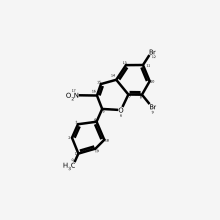 Cc1ccc(C2Oc3c(Br)cc(Br)cc3C=C2[N+](=O)[O-])cc1